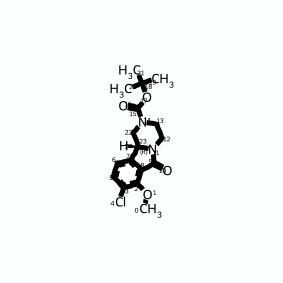 COc1c(Cl)ccc2c1C(=O)N1CCN(C(=O)OC(C)(C)C)C[C@@H]21